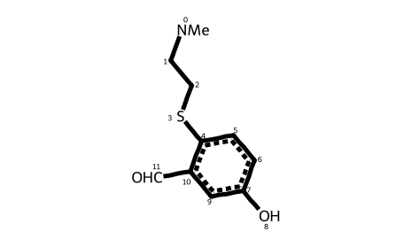 CNCCSc1ccc(O)cc1C=O